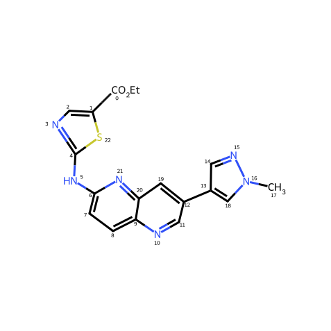 CCOC(=O)c1cnc(Nc2ccc3ncc(-c4cnn(C)c4)cc3n2)s1